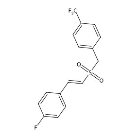 O=S(=O)(C=Cc1ccc(F)cc1)Cc1ccc(C(F)(F)F)cc1